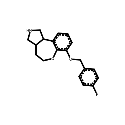 Fc1ccc(COc2cccc3c2OCCC2CNCC32)cc1